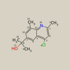 Cc1cc(Cl)c2cc(C(C)(C)O)cc(C)c2n1